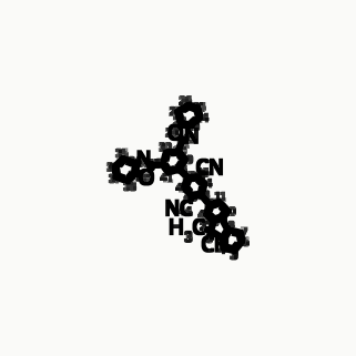 CC1(C)c2ccccc2-c2ccc(-c3cc(C#N)c(-c4cc(-c5nc6ccccc6o5)cc(-c5nc6ccccc6o5)c4)cc3C#N)cc21